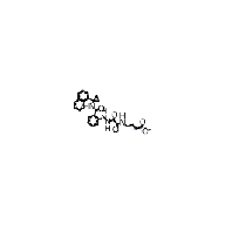 COC(=O)/C=C/CNC(=O)C(=O)NNc1ccccc1C(=O)NC1(c2cccc3ccccc23)CC1